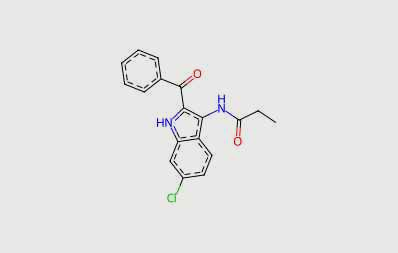 CCC(=O)Nc1c(C(=O)c2ccccc2)[nH]c2cc(Cl)ccc12